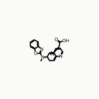 CN(c1nc2ccccc2o1)C1CC=C2N=CC=CC23C1CCN3CC(=O)O